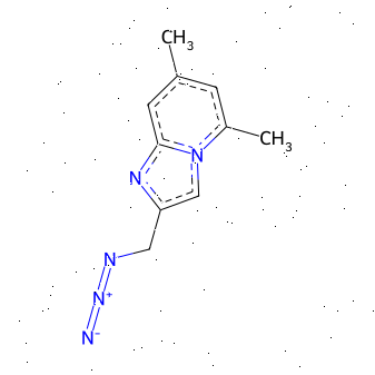 Cc1cc(C)n2cc(CN=[N+]=[N-])nc2c1